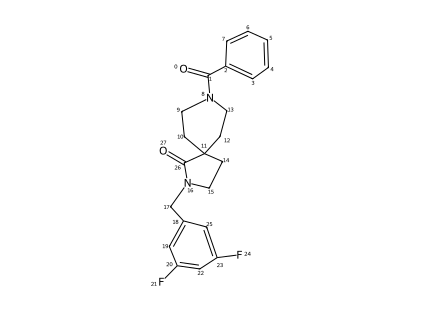 O=C(c1ccccc1)N1CCC2(CC1)CCN(Cc1cc(F)cc(F)c1)C2=O